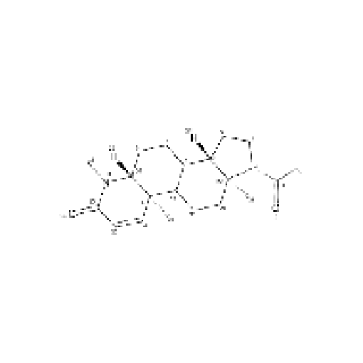 CC(=O)[C@H]1CC[C@H]2C3CC[C@H]4N(C)C(=O)C=C[C@]4(C)C3CC[C@]12C